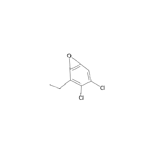 CCc1c(Cl)c(Cl)cc2c1O2